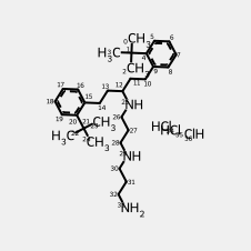 CC(C)(C)c1ccccc1CCC(CCc1ccccc1C(C)(C)C)NCCCNCCCN.Cl.Cl.Cl